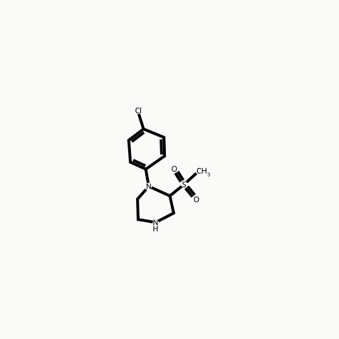 CS(=O)(=O)C1CNCCN1c1ccc(Cl)cc1